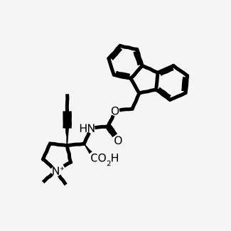 CC#C[C@]1([C@@H](NC(=O)OCC2c3ccccc3-c3ccccc32)C(=O)O)CC[N+](C)(C)C1